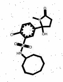 CN1C(=O)CCC1(O)c1ccc(Cl)c(S(=O)(=O)NC2CCCCCCC2)c1